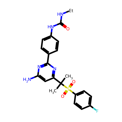 CCNC(=O)Nc1ccc(-c2nc(N)cc(C(C)(C)S(=O)(=O)c3ccc(F)cc3)n2)cc1